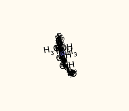 C/C(=N\NC(=O)c1ccc(C(=O)NCCCN2CCOCC2)s1)c1nn(C)c(-c2ccc(C(F)(F)F)cc2)c1O